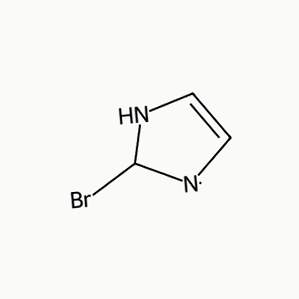 BrC1[N]C=CN1